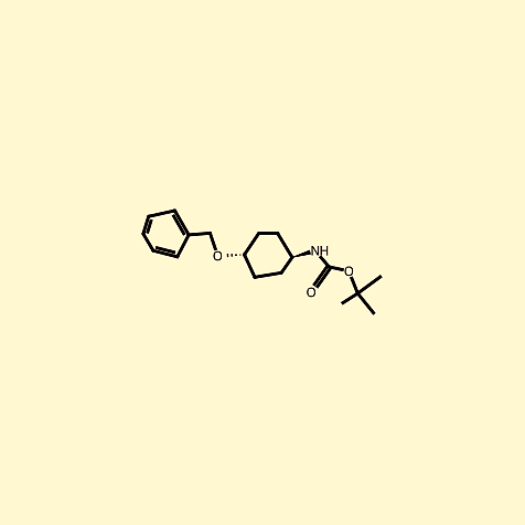 CC(C)(C)OC(=O)N[C@H]1CC[C@H](OCc2ccccc2)CC1